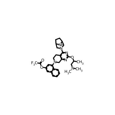 CC(CN(C)C)Oc1nc2c(c(N3CC4CCC(C3)N4)n1)CCN(c1cc(OC(=O)C(F)(F)F)cc3ccccc13)C2